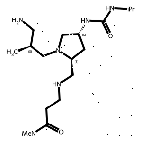 CNC(=O)CCNC[C@@H]1C[C@@H](NC(=O)NC(C)C)CN1C[C@@H](C)CN